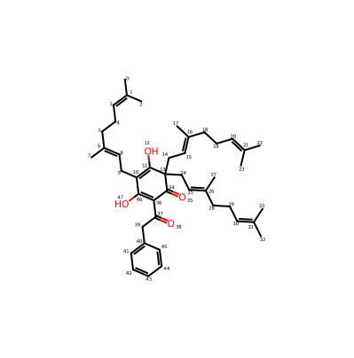 CC(C)=CCC/C(C)=C/CC1=C(O)C(C/C=C(\C)CCC=C(C)C)(C/C=C(\C)CCC=C(C)C)C(=O)C(C(=O)Cc2ccccc2)=C1O